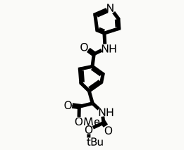 COC(=O)C(NC(=O)OC(C)(C)C)c1ccc(C(=O)Nc2ccncc2)cc1